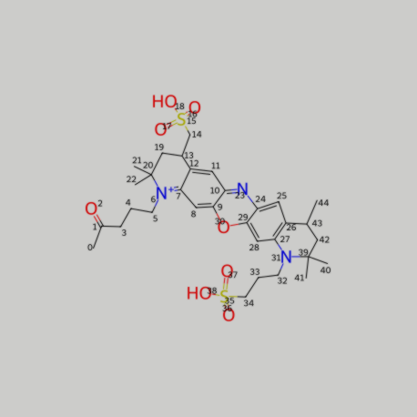 CC(=O)CCC[N+]1=c2cc3c(cc2C(CS(=O)(=O)O)CC1(C)C)=Nc1cc2c(cc1O3)N(CCCS(=O)(=O)O)C(C)(C)CC2C